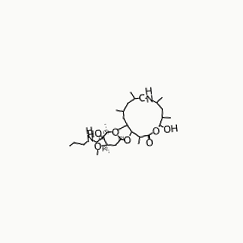 CCCNC[C@]1(O)[C@H](C)O[C@@H](OC2C(C)CC(C)CC(C)CNC(C)CC(C)C(O)OC(=O)C2C)C[C@@]1(C)OC